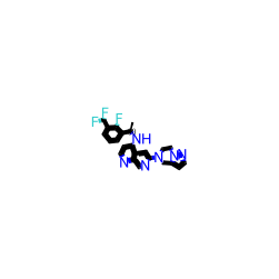 C[C@@H](Nc1ccnc2cnc(N3CCn4nccc4C3)cc12)c1cccc(C(F)F)c1F